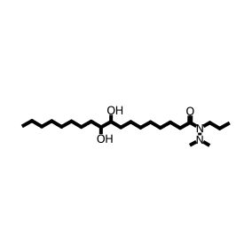 CCCCCCCCC(O)C(O)CCCCCCCC(=O)N(CCC)N(C)C